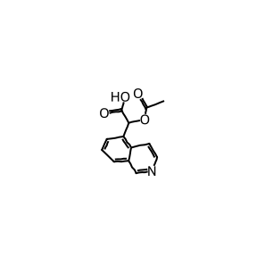 CC(=O)OC(C(=O)O)c1cccc2cnccc12